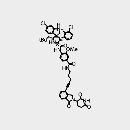 COc1cc(C(=O)NCCCC#Cc2cccc3c2CN(C2CCC(=O)NC2=O)C3=O)ccc1NC(=O)[C@@H]1N[C@@H](CC(C)(C)C)[C@@]2(CNc3cc(Cl)ccc32)[C@H]1c1cccc(Cl)c1F